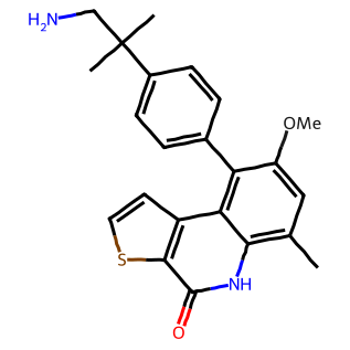 COc1cc(C)c2[nH]c(=O)c3sccc3c2c1-c1ccc(C(C)(C)CN)cc1